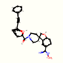 N=C(NO)c1ccc2c(c1)C1(CCN(C(=O)c3ccc(C#Cc4ccccc4)o3)CC1)CO2